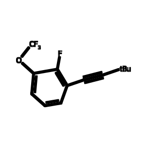 CC(C)(C)C#Cc1cccc(OC(F)(F)F)c1F